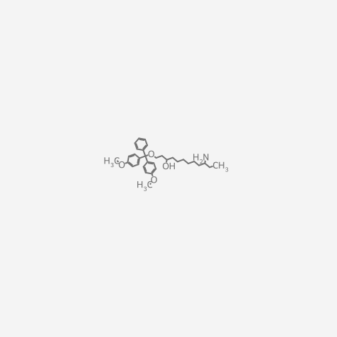 CCC(N)CCCCCCC(O)CCOC(c1ccccc1)(c1ccc(OC)cc1)c1ccc(OC)cc1